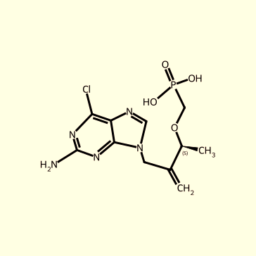 C=C(Cn1cnc2c(Cl)nc(N)nc21)[C@H](C)OCP(=O)(O)O